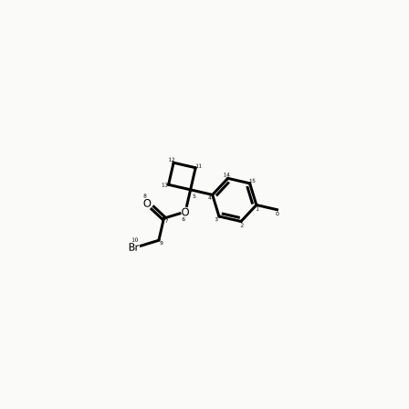 Cc1ccc(C2(OC(=O)CBr)CCC2)cc1